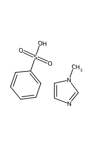 Cn1ccnc1.O=S(=O)(O)c1ccccc1